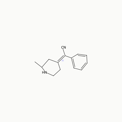 CC1C/C(=C(\C#N)c2ccccc2)CCN1